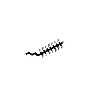 [CH2]CC/C=C/C(F)(F)C(F)(F)C(F)(F)C(F)(F)C(F)(F)C(F)(F)C(F)(F)F